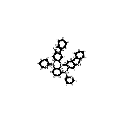 c1ccc(N2c3cc4oc5ccccc5c4cc3B3c4cc5c(cc4N(c4ccccn4)c4cccc2c43)oc2ccccc25)nc1